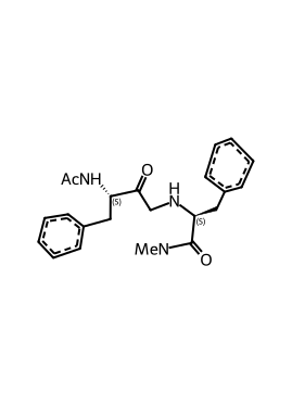 CNC(=O)[C@H](Cc1ccccc1)NCC(=O)[C@H](Cc1ccccc1)NC(C)=O